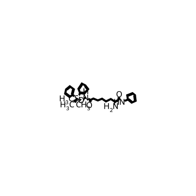 CC(C)(C)[Si](ONC(=O)CCCCCC(N)C(=O)Nc1ccccc1)(c1ccccc1)c1ccccc1